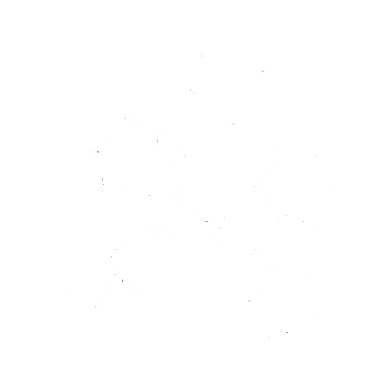 C1=CC(C=C(c2ccccc2)c2ccccc2)(C=C(c2ccccc2)c2ccccc2)C=CC1c1ccccc1